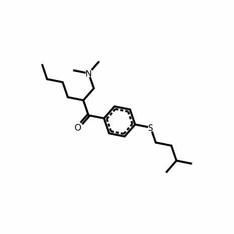 CCCCC(CN(C)C)C(=O)c1ccc(SCCC(C)C)cc1